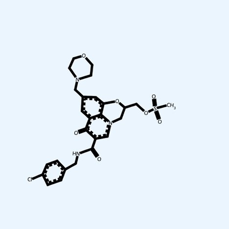 CS(=O)(=O)OCC1Cn2cc(C(=O)NCc3ccc(Cl)cc3)c(=O)c3cc(CN4CCOCC4)cc(c32)O1